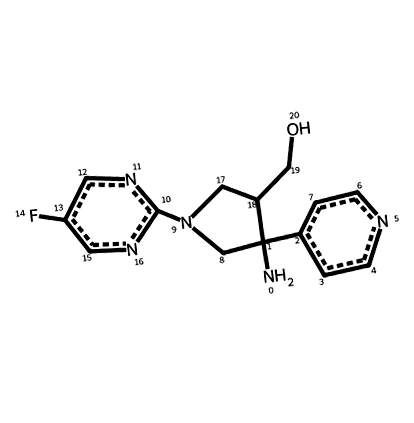 NC1(c2ccncc2)CN(c2ncc(F)cn2)CC1CO